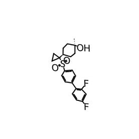 C[C@]1(O)CC[C@@H](C2(S(=O)(=O)c3ccc(-c4ccc(F)cc4F)cc3)CC2)CC1